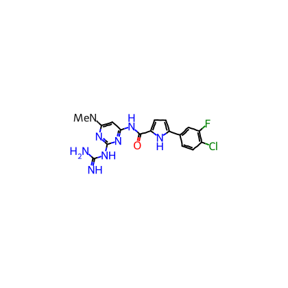 CNc1cc(NC(=O)c2ccc(-c3ccc(Cl)c(F)c3)[nH]2)nc(NC(=N)N)n1